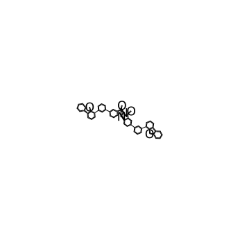 O=c1c2cc(-c3cccc(-c4cccc5c4oc4ccccc45)c3)ccc2n2c3ccc(-c4cccc(-c5cccc6c5oc5ccccc56)c4)cc3c(=O)n12